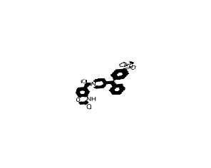 CS(=O)(=O)c1ccc([C@@H](c2ccccc2)C2CCN(C(=O)c3ccc4c(c3)NC(=O)CO4)CC2)cc1